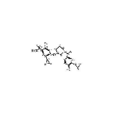 C[C@@H](c1ccc(Cl)c(C2CC2)n1)N1CCC[C@@H](Oc2cc(F)c(C(=O)O)cc2C2CC2)C1